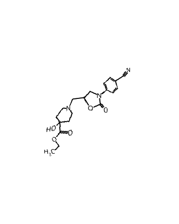 CCOC(=O)C1(O)CCN(CC2CN(c3ccc(C#N)cc3)C(=O)O2)CC1